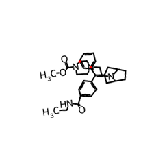 CCNC(=O)c1ccc(C(=C2CC3CCC(C2)N3CCN2CCN(C(=O)OC)CC2)c2ccccc2)cc1